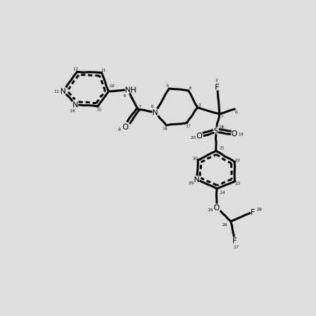 CC(F)(C1CCN(C(=O)Nc2ccnnc2)CC1)S(=O)(=O)c1ccc(OC(F)F)nc1